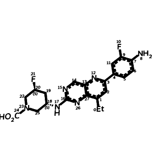 CCc1cc(-c2ccc(N)c(F)c2)nc2cnc(N[C@H]3C[C@H](F)CN(C(=O)O)C3)nc12